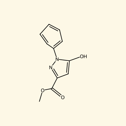 COC(=O)c1cc(O)n(-c2ccccc2)n1